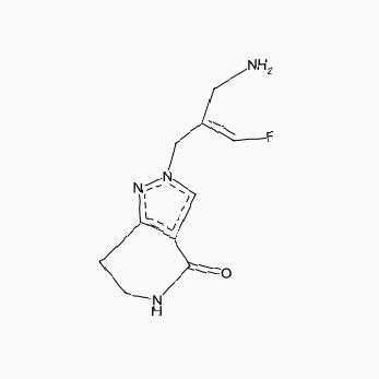 NCC(=CF)Cn1cc2c(n1)CCNC2=O